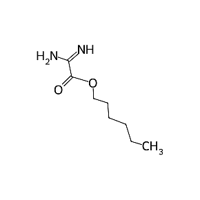 CCCCCCOC(=O)C(=N)N